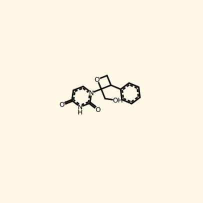 O=c1ccn(C2(CO)OCC2c2ccccc2)c(=O)[nH]1